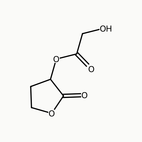 O=C(CO)OC1CCOC1=O